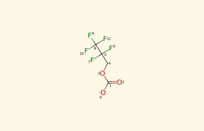 [O]C(=O)OCC(F)(F)C(F)(F)F